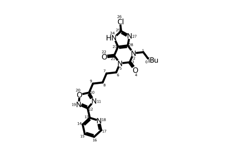 CCC(C)Cn1c(=O)n(CCCCc2nc(-c3ccccn3)no2)c(=O)c2[nH]c(Cl)nc21